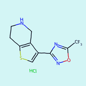 Cl.FC(F)(F)c1nc(-c2csc3c2CNCC3)no1